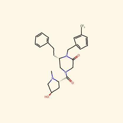 CN1C[C@H](O)C[C@H]1C(=O)N1CC(=O)N(Cc2cccc(C(F)(F)F)c2)[C@@H](CCc2ccccc2)C1